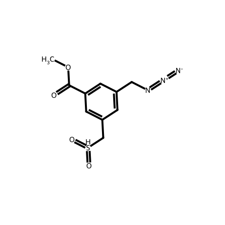 COC(=O)c1cc(CN=[N+]=[N-])cc(C[SH](=O)=O)c1